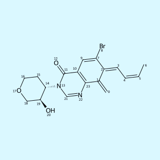 C=c1/c(=C\C=C/C)c(Br)cc2c(=O)n([C@H]3CCOC[C@@H]3O)cnc12